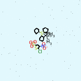 CC(C)(C)c1ccccc1[S+](c1ccccc1)c1ccccc1.O=[N+]([O-])c1cc(S(=O)(=O)[O-])sc1Cl